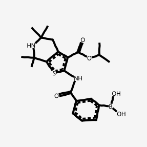 CC(C)OC(=O)c1c(NC(=O)c2cccc(B(O)O)c2)sc2c1CC(C)(C)NC2(C)C